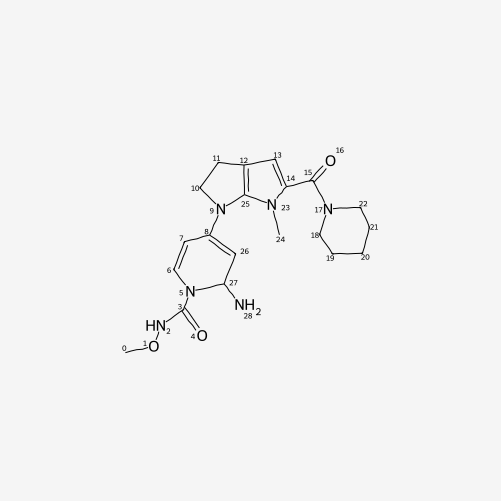 CONC(=O)N1C=CC(N2CCc3cc(C(=O)N4CCCCC4)n(C)c32)=CC1N